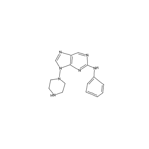 c1ccc(Nc2ncc3ncn(N4CCNCC4)c3n2)cc1